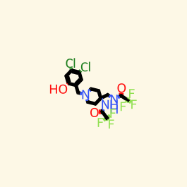 O=C(NCC1(NC(=O)C(F)(F)F)CCN(Cc2cc(Cl)c(Cl)cc2O)CC1)C(F)(F)F